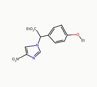 CCOC(=O)C(c1ccc(OCC)cc1)n1cnc([N+](=O)[O-])c1